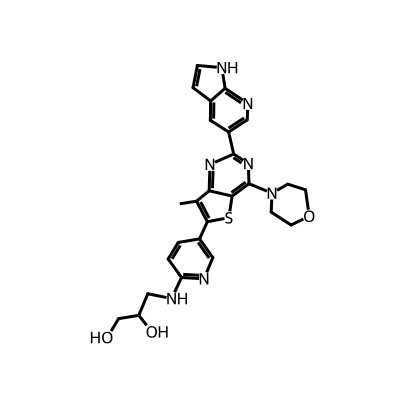 Cc1c(-c2ccc(NCC(O)CO)nc2)sc2c(N3CCOCC3)nc(-c3cnc4[nH]ccc4c3)nc12